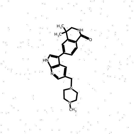 CN1CCN(Cc2cnc3[nH]cc(-c4ccc5c(c4)C(C)(C)CNC5=O)c3c2)CC1